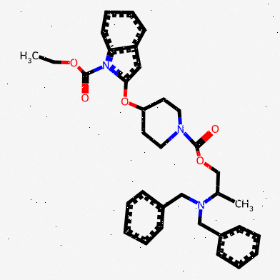 CCOC(=O)n1c(OC2CCN(C(=O)OCC(C)N(Cc3ccccc3)Cc3ccccc3)CC2)cc2ccccc21